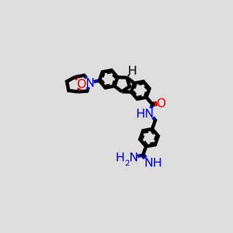 N=C(N)c1ccc(CNC(=O)c2ccc3c(c2)C2C[C@H]3c3ccc(N4CC5CCC(C4)O5)cc32)cc1